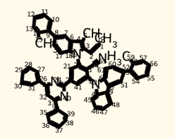 C/C=C\c1c(C)c2cc(-c3ccccc3C)ccc2n1-c1cc(-c2nc(-c3ccccc3)cc(-c3ccccc3)n2)cc(-n2c3ccccc3c3cc(-c4ccccc4C)ccc32)c1C#N